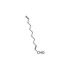 C=CCCCCCCCC=CC=O